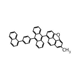 Cc1cc2ccc3c(-c4c5ccccc5c(-c5ccc(-c6cccc7ccccc67)cc5)c5ccccc45)ccc4oc(c1)c2c43